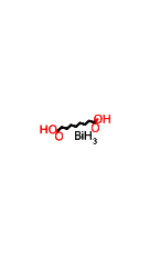 O=C(O)CCCCCCCC(=O)O.[BiH3]